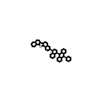 c1ccc(-c2c3ccccc3c(-c3ccc(-c4ccc5c(ccc6c7ccc8ccccc8c7oc56)c4)c4ccccc34)c3ccccc23)cc1